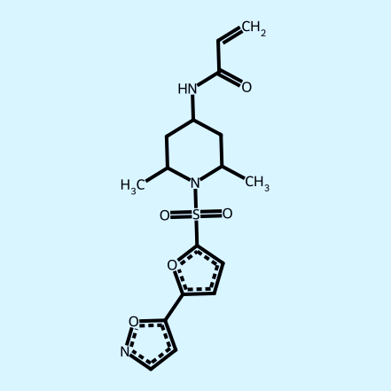 C=CC(=O)NC1CC(C)N(S(=O)(=O)c2ccc(-c3ccno3)o2)C(C)C1